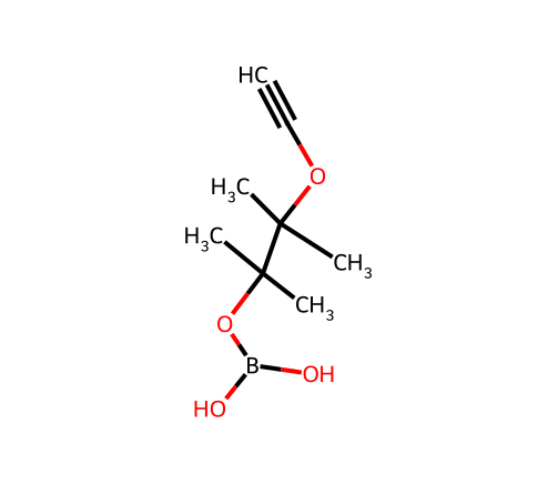 C#COC(C)(C)C(C)(C)OB(O)O